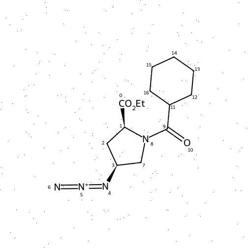 CCOC(=O)[C@@H]1C[C@H](N=[N+]=[N-])CN1C(=O)C1CCCCC1